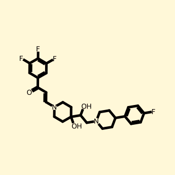 O=C(C=CN1CCC(O)(C(O)CN2CCC(c3ccc(F)cc3)CC2)CC1)c1cc(F)c(F)c(F)c1